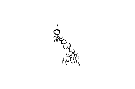 CC(C)(C)OC(=O)N1CCc2ccc(NS(=O)(=O)c3ccc(I)cc3)cc2CC1